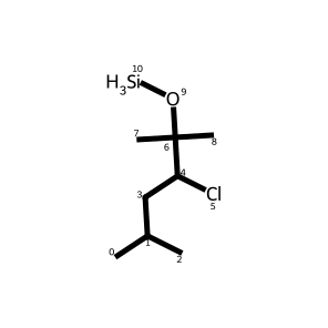 CC(C)CC(Cl)C(C)(C)O[SiH3]